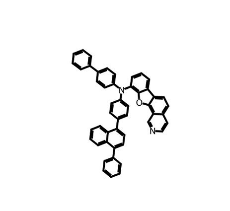 c1ccc(-c2ccc(N(c3ccc(-c4ccc(-c5ccccc5)c5ccccc45)cc3)c3cccc4c3oc3c5cnccc5ccc43)cc2)cc1